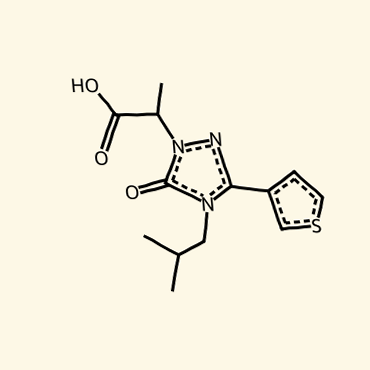 CC(C)Cn1c(-c2ccsc2)nn(C(C)C(=O)O)c1=O